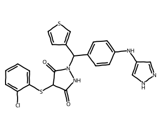 O=C1NN(C(c2ccc(Nc3cn[nH]c3)cc2)c2ccsc2)C(=O)C1Sc1ccccc1Cl